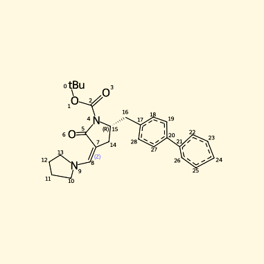 CC(C)(C)OC(=O)N1C(=O)/C(=C\N2CCCC2)C[C@H]1Cc1ccc(-c2ccccc2)cc1